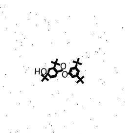 CC(C)(C)C1=C(C(=O)Oc2cc(C(C)(C)C)cc(C(C)(C)C)c2)C=CC(O)(C(C)(C)C)C1